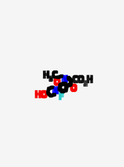 CC1Cn2cc(C(=O)O)c(=O)c3cc(F)c(N4CCC(O)CC4)c(c32)O1